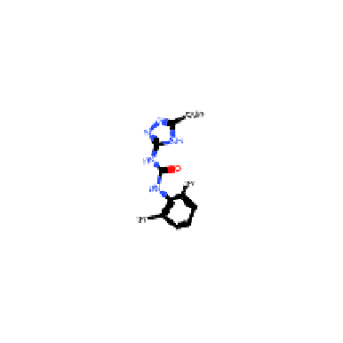 CSc1nnc(NC(=O)Nc2c(C(C)C)cccc2C(C)C)[nH]1